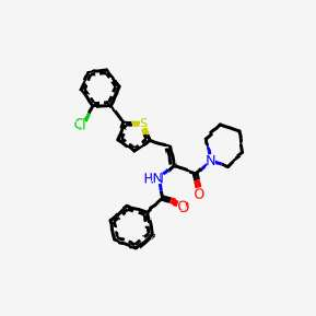 O=C(N/C(=C\c1ccc(-c2ccccc2Cl)s1)C(=O)N1CCCCC1)c1ccccc1